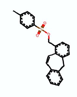 Cc1ccc(S(=O)(=O)OCc2cccc3c2C=Cc2ccccc2C3)cc1